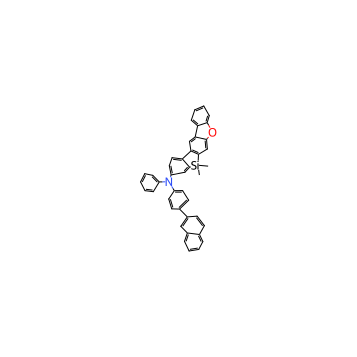 C[Si]1(C)c2cc(N(c3ccccc3)c3ccc(-c4ccc5ccccc5c4)cc3)ccc2-c2cc3c(cc21)oc1ccccc13